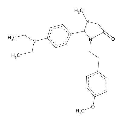 CCN(CC)c1ccc(C2N(C)CC(=O)N2CCc2ccc(OC)cc2)cc1